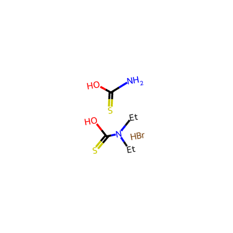 Br.CCN(CC)C(O)=S.NC(O)=S